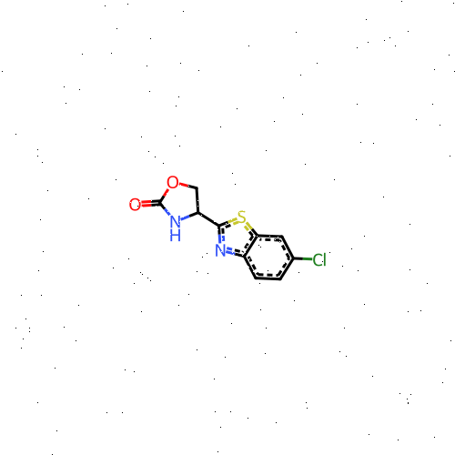 O=C1NC(c2nc3ccc(Cl)cc3s2)CO1